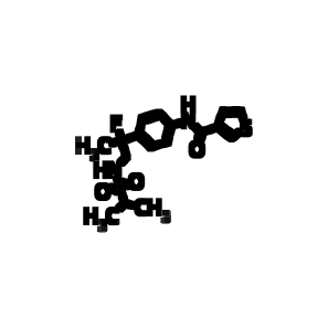 CC(C)S(=O)(=O)NCC(C)(F)c1ccc(NC(=O)c2ccsc2)cc1